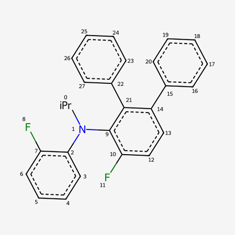 CC(C)N(c1ccccc1F)c1c(F)ccc(-c2ccccc2)c1-c1ccccc1